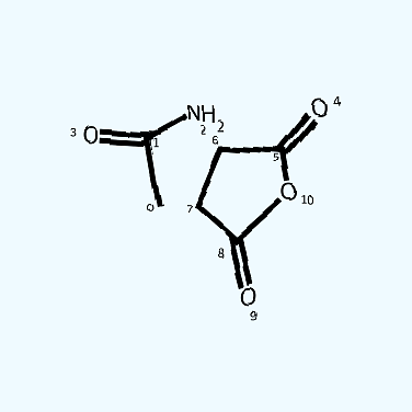 CC(N)=O.O=C1CCC(=O)O1